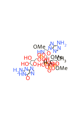 CO[C@@H](NOP(=O)(O)OCC1OC(n2cnc3c(=O)[nH]c(N)nc32)C(O)C1O)C(OCCOP(=O)(O)OP(=O)(O)OP(=O)(OC)O[C@H](C)[C@H](C)OC)n1cnc2c(N)ncnc21